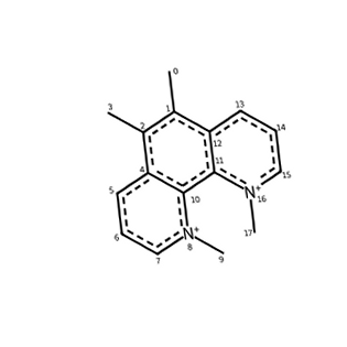 Cc1c(C)c2ccc[n+](C)c2c2c1ccc[n+]2C